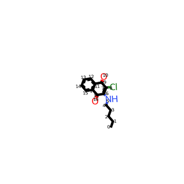 CCCCCNC1=C(Cl)C(=O)c2ccccc2C1=O